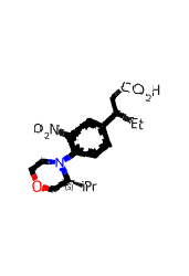 CCC(CC(=O)O)c1ccc(N2CCOC[C@@H]2C(C)C)c([N+](=O)[O-])c1